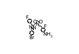 Nc1ccc(CCN2C(=O)CO[C@@H]2c2nn(-c3ccc(Br)cc3)nc2-c2ccc(F)cc2)c(F)c1